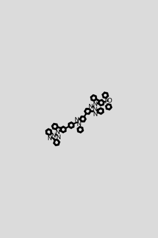 O=P(c1ccccc1)(c1ccccc1)c1ccc2c(c1)c1ccccc1n2-c1nc2ccc(-c3ccc4c(c3)nc(-c3ccc(-c5ccc6c(c5)c5ccccc5n6-c5nc6ccccc6c6nc7ccccc7n56)cc3)n4-c3ccccc3)cc2c2nc3ccccc3n12